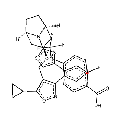 O=C(O)c1ccc(-c2csc(N3[C@@H]4CC[C@H]3C[C@@H](OCc3c(-c5ccccc5OC(F)(F)F)noc3C3CC3)C4)n2)cc1F